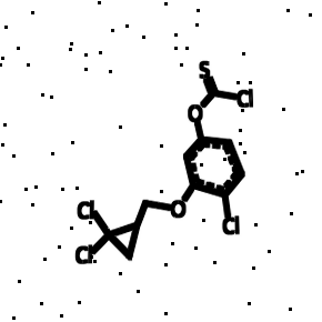 S=C(Cl)Oc1ccc(Cl)c(OCC2CC2(Cl)Cl)c1